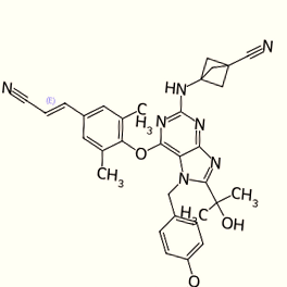 COc1ccc(Cn2c(C(C)(C)O)nc3nc(NC45CC(C#N)(C4)C5)nc(Oc4c(C)cc(/C=C/C#N)cc4C)c32)cc1